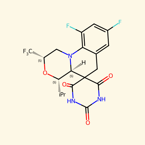 CC(C)[C@@H]1O[C@H](C(F)(F)F)CN2c3c(F)cc(F)cc3CC3(C(=O)NC(=O)NC3=O)[C@@H]12